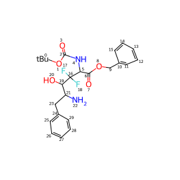 CC(C)(C)OC(=O)NC(C(=O)OCc1ccccc1)C(F)(F)C(O)C(N)Cc1ccccc1